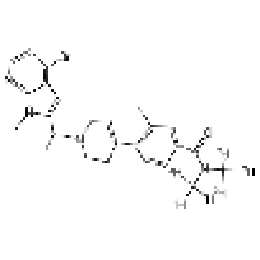 [2H]C([2H])([2H])N(C(=O)c1ccc(C2=CCN(C(C)c3cc4c(Br)ccnc4n3C)CC2)c(C)c1)C([2H])([2H])[2H]